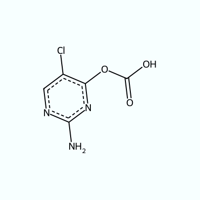 Nc1ncc(Cl)c(OC(=O)O)n1